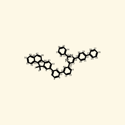 CC1(C)c2cc(-c3cccc(-c4cccc(-c5cc(-c6ccc(-c7ccccc7)cc6)nc(-c6ccccc6)n5)c4)c3)ccc2-c2ccc3ccccc3c21